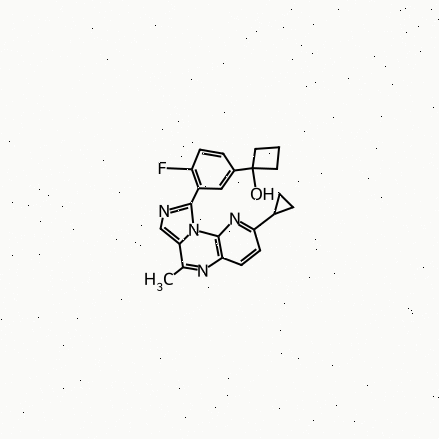 Cc1nc2ccc(C3CC3)nc2n2c(-c3cc(C4(O)CCC4)ccc3F)ncc12